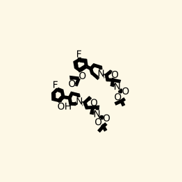 CC(C)(C)OC(=O)N1CC2(C[C@H](N3CCC(c4cc(F)ccc4O)CC3)CO2)C1.CC(C)(C)OC(=O)N1CC2(C[C@H](N3CCC(c4cc(F)ccc4OC4COC4)CC3)CO2)C1